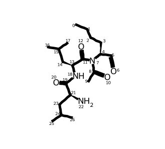 CCCC[C@@H](C=O)N(C(C)=O)C(=O)[C@H](CC(C)C)NC(=O)[C@@H](N)CC(C)C